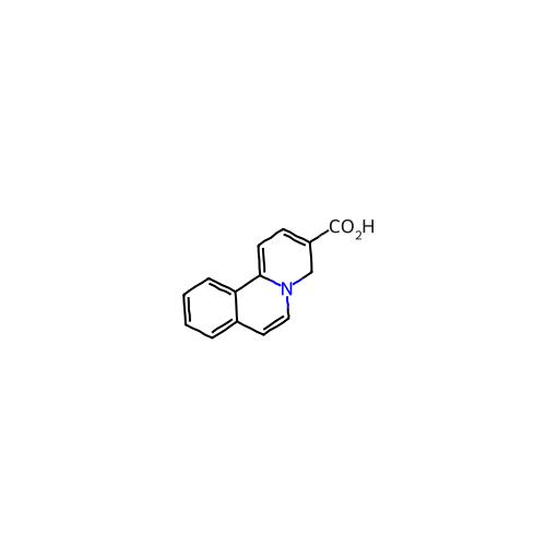 O=C(O)C1=CC=C2c3ccccc3C=CN2C1